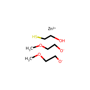 COCC[O-].COCC[O-].OCCS.[Zn+2]